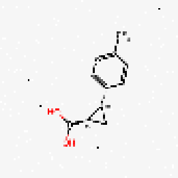 OB(O)[C@@H]1C[C@H]1c1ccc(C(F)(F)F)cc1